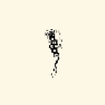 CC1(C)O[C@@H]2C[C@H]3[C@@H]4CCC5=Cc6nn(CC#CCCOCP)cc6C[C@]5(C)[C@@]4(F)[C@@H](O)C[C@]3(C)[C@]2(C(=O)CO)O1